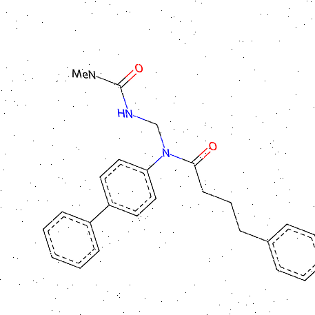 CNC(=O)NCN(C(=O)CCCc1ccccc1)c1ccc(-c2ccccc2)cc1